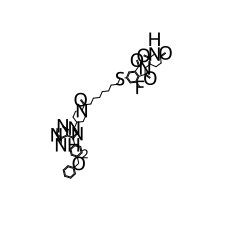 Nc1ncnc2c1c(-c1ccc(Oc3ccccc3)cc1)nn2C1CCN(C(=O)CCCCCCCSc2cc(F)c3c(c2)C(=O)N(C2CCC(=O)NC2=O)C3=O)CC1